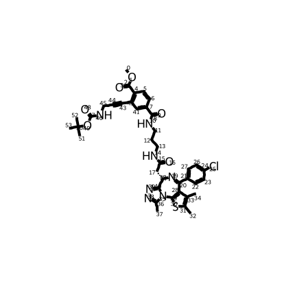 COC(=O)c1ccc(C(=O)NCCCNC(=O)C[C@@H]2N=C(c3ccc(Cl)cc3)c3c(sc(C)c3C)-n3c(C)nnc32)cc1C#CCNC(=O)OC(C)(C)C